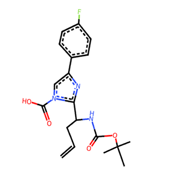 C=CCC(NC(=O)OC(C)(C)C)c1nc(-c2ccc(F)cc2)cn1C(=O)O